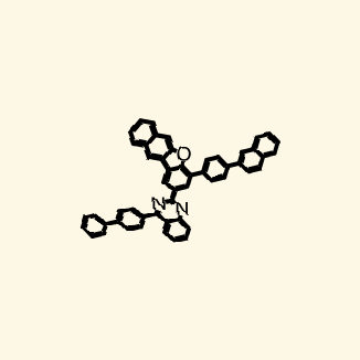 c1ccc(-c2ccc(-c3nc(-c4cc(-c5ccc(-c6ccc7ccccc7c6)cc5)c5oc6cc7ccccc7cc6c5c4)nc4ccccc34)cc2)cc1